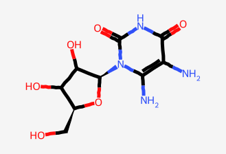 Nc1c(N)n([C@H]2O[C@@H](CO)C(O)C2O)c(=O)[nH]c1=O